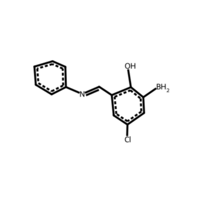 Bc1cc(Cl)cc(/C=N/c2ccccc2)c1O